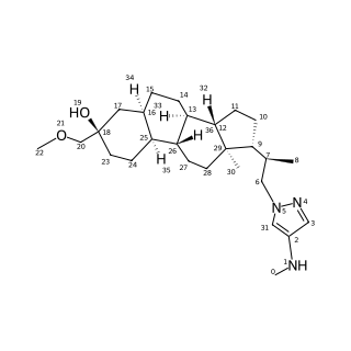 CNc1cnn(C[C@H](C)[C@H]2CC[C@H]3[C@@H]4CC[C@@H]5C[C@@](O)(COC)CC[C@@H]5[C@H]4CC[C@]23C)c1